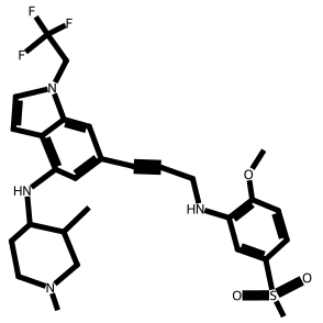 COc1ccc(S(C)(=O)=O)cc1NCC#Cc1cc(NC2CCN(C)CC2C)c2ccn(CC(F)(F)F)c2c1